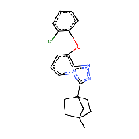 CC12CCC(c3nnc4c(Oc5ccccc5Cl)cccn34)(CC1)C2